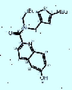 CC(C)(C)CN(Cc1csc(C(C)(C)C)c1)C(=O)c1ccc2cc(O)ccc2n1